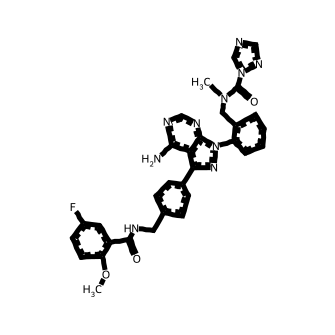 COc1ccc(F)cc1C(=O)NCc1ccc(-c2nn(-c3ccccc3CN(C)C(=O)n3cncn3)c3ncnc(N)c23)cc1